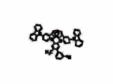 Cc1cc(-n2c3ccccc3c3cc(-n4c5ccccc5c5ccccc54)ccc32)c(-n2c3ccccc3c3cc(-n4c5ccccc5c5ccccc54)ccc32)cc1-c1cccc(C#N)c1